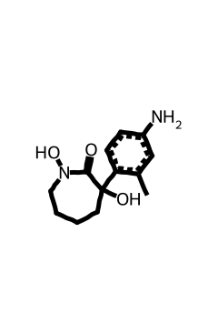 Cc1cc(N)ccc1C1(O)CCCCN(O)C1=O